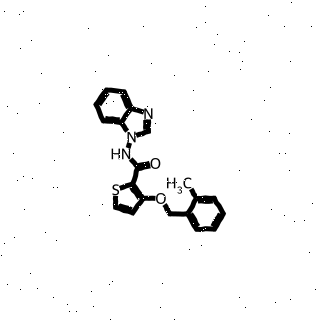 Cc1ccccc1COc1ccsc1C(=O)Nn1cnc2ccccc21